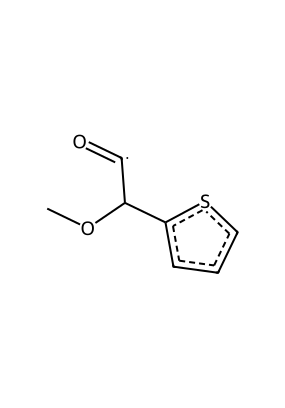 COC([C]=O)c1cccs1